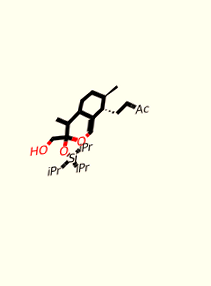 CC(=O)CC[C@@H]1C2=COC(CO)(O[Si](C(C)C)(C(C)C)C(C)C)C(C)C2CC[C@H]1C